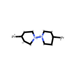 CC(C)C1CCN(N2CCC(C(C)C)CC2)CC1